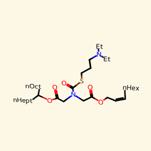 CCCCCC/C=C\COC(=O)CN(CC(=O)OC(CCCCCCC)CCCCCCCC)C(=O)SCCCN(CC)CC